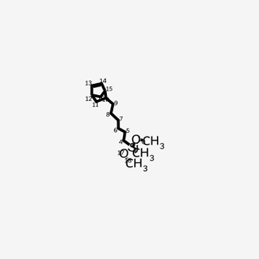 CO[Si](C)(CCCCCCC1CC2C=CC1C2)OC